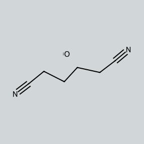 N#CCCCCC#N.[O]